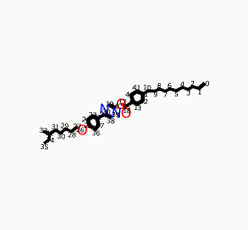 C=CCCCCCCCCCc1ccc(C(=O)Oc2cnc(-c3ccc(OCCCCCC(C)CC)cc3)cn2)cc1